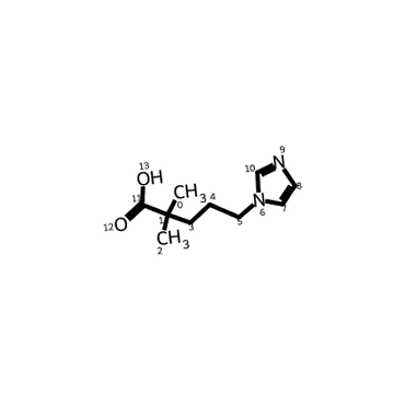 CC(C)(CCCn1ccnc1)C(=O)O